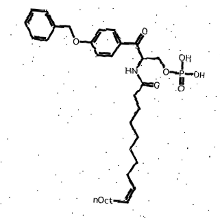 CCCCCCCC/C=C\CCCCCCCC(=O)N[C@H](COP(=O)(O)O)C(=O)c1ccc(OCc2ccccc2)cc1